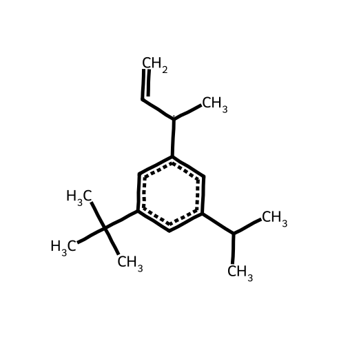 C=C[C](C)c1cc(C(C)C)cc(C(C)(C)C)c1